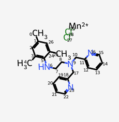 Cc1cc(C)c(NCCN(Cc2ccccn2)Cc2ccccn2)c(C)c1.[Cl-].[Cl-].[Mn+2]